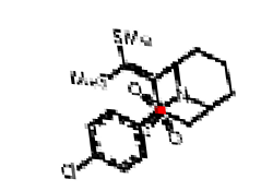 CSC(SC)=C1C(=O)CC2CCCC1N2S(=O)(=O)c1ccc(Cl)cc1